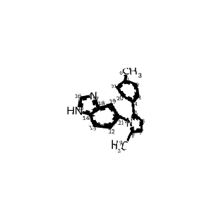 Cc1ccc(-c2c[c]c(C)n2-c2ccc3[nH]cnc3c2)cc1